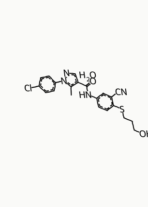 Cc1c(C(=O)Nc2ccc(SCCCO)c(C#N)c2)cnn1-c1ccc(Cl)cc1.O